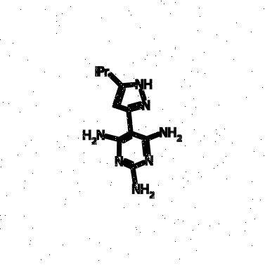 CC(C)c1cc(-c2c(N)nc(N)nc2N)n[nH]1